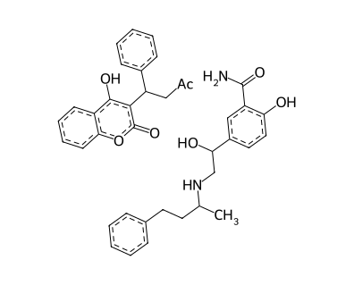 CC(=O)CC(c1ccccc1)c1c(O)c2ccccc2oc1=O.CC(CCc1ccccc1)NCC(O)c1ccc(O)c(C(N)=O)c1